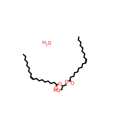 CCCCCCCC/C=C\CCCCCCCC(=O)OCC(CO)OC(=O)CCCCCCC/C=C\CCCCCCCC.O